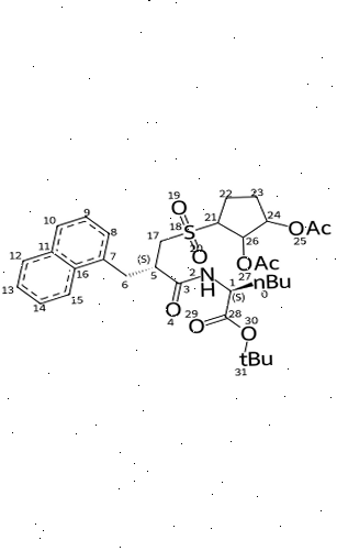 CCCC[C@H](NC(=O)[C@H](Cc1cccc2ccccc12)CS(=O)(=O)C1CCC(OC(C)=O)C1OC(C)=O)C(=O)OC(C)(C)C